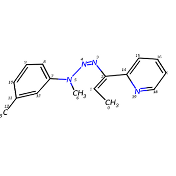 CC=C(/N=N\N(C)c1cccc(C)c1)c1ccccn1